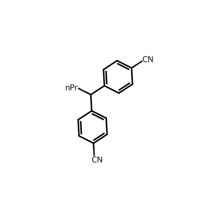 CCCC(c1ccc(C#N)cc1)c1ccc(C#N)cc1